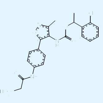 Cc1noc(-c2ccc(NC(=O)CC(=O)O)cc2)c1NC(=O)OC(C)c1ccccc1Cl